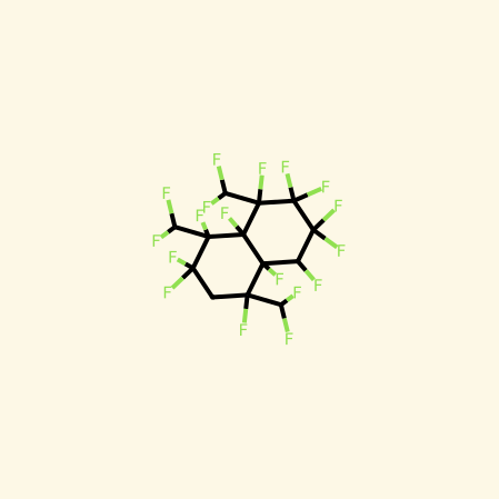 FC(F)C1(F)CC(F)(F)C(F)(C(F)F)C2(F)C1(F)C(F)C(F)(F)C(F)(F)C2(F)C(F)F